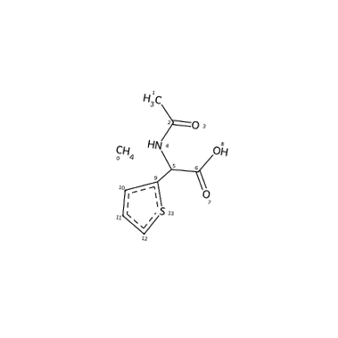 C.CC(=O)NC(C(=O)O)c1cccs1